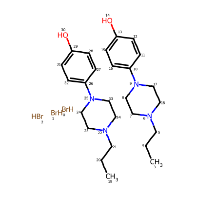 Br.Br.Br.CCCN1CCN(c2ccc(O)cc2)CC1.CCCN1CCN(c2ccc(O)cc2)CC1